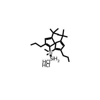 CCCC1=[C]([Ti]([CH3])([CH3])(=[SiH2])[C]2=C(CCC)C=C(C(C)(C)C)C2)CC(C(C)(C)C)=C1.Cl.Cl